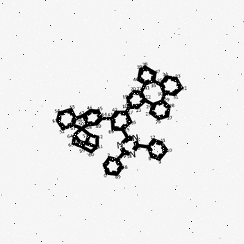 c1ccc(-c2nc(-c3ccccc3)nc(-c3cc(-c4ccc5c(c4)-c4ccccc4-c4ccccc4-c4ccccc4-5)cc(-c4ccc5c(c4)C4(c6ccccc6-5)C5CC6CC(C5)CC4C6)c3)n2)cc1